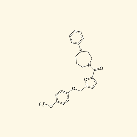 O=C(c1ccc(COc2ccc(OC(F)(F)F)cc2)o1)N1CCCN(c2ccccc2)CC1